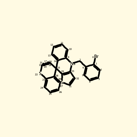 Brc1ccccc1CN1c2ccccc2C2(c3ccccc3Sc3ccccc32)c2sccc21